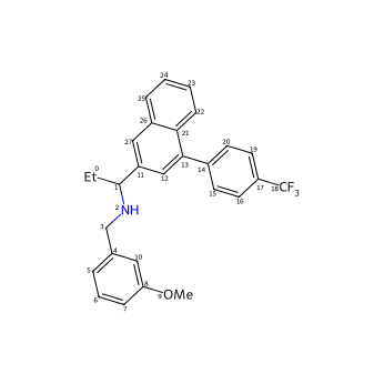 CCC(NCc1cccc(OC)c1)c1cc(-c2ccc(C(F)(F)F)cc2)c2ccccc2c1